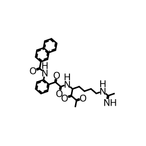 CC(=N)NCCCCC(NC(=O)C(=O)c1ccccc1NC(=O)c1ccc2ccccc2c1)C(=O)C(C)=O